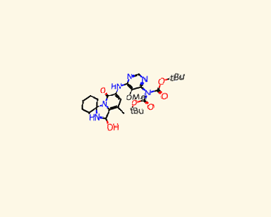 COc1c(Nc2cc(C)c3n(c2=O)C2(CCCCC2)NC3O)ncnc1N(C(=O)OC(C)(C)C)C(=O)OC(C)(C)C